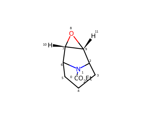 CCOC(=O)N1C2CCCC1[C@@H]1O[C@H]21